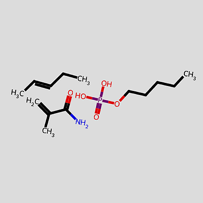 C=C(C)C(N)=O.CC=CCC.CCCCCOP(=O)(O)O